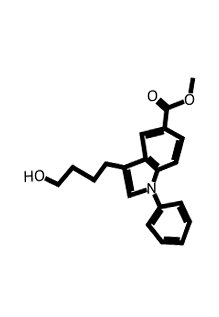 COC(=O)c1ccc2c(c1)c(CCCCO)cn2-c1ccccc1